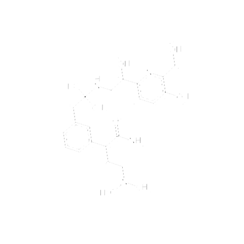 CN(C)CCC(C(N)=O)c1cccc(CC(C)(C)NCC(O)c2ccc(O)c(CO)n2)c1